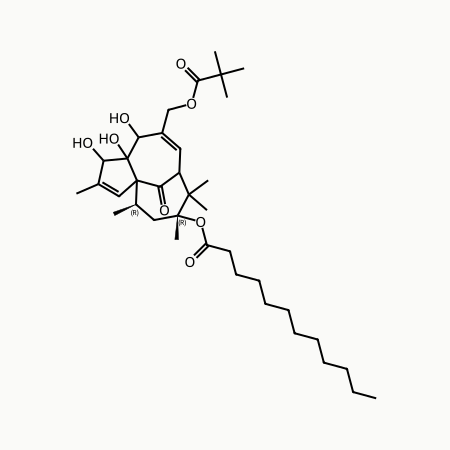 CCCCCCCCCCCC(=O)O[C@]1(C)C[C@@H](C)C23C=C(C)C(O)C2(O)C(O)C(COC(=O)C(C)(C)C)=CC(C3=O)C1(C)C